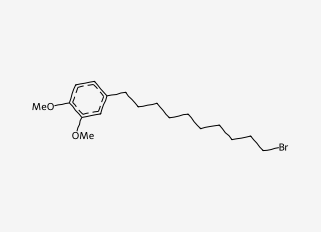 COc1ccc(CCCCCCCCCCBr)cc1OC